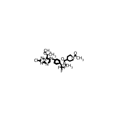 CO[C@H](C)c1c(Nc2ccc([C@H](N(C)C(=O)C3CCN(C(C)=O)CC3)C(F)(F)F)cc2)cnc2nc(Cl)nn12